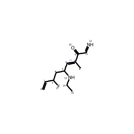 C=CC(F)CC(/C=C(\C)C(=O)C=N)NCC